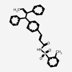 CC=C(c1ccccc1)C(c1ccccc1)c1ccc(C=CC(=O)NS(=O)(=O)c2ccccc2C)cc1